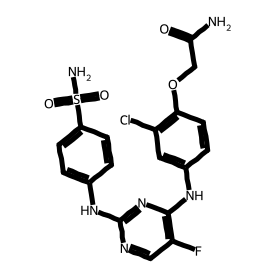 NC(=O)COc1ccc(Nc2nc(Nc3ccc(S(N)(=O)=O)cc3)ncc2F)cc1Cl